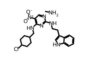 CN.O=[N+]([O-])c1cnc(NCCc2c[nH]c3ccccc23)nc1NCC1CCC(Cl)CC1